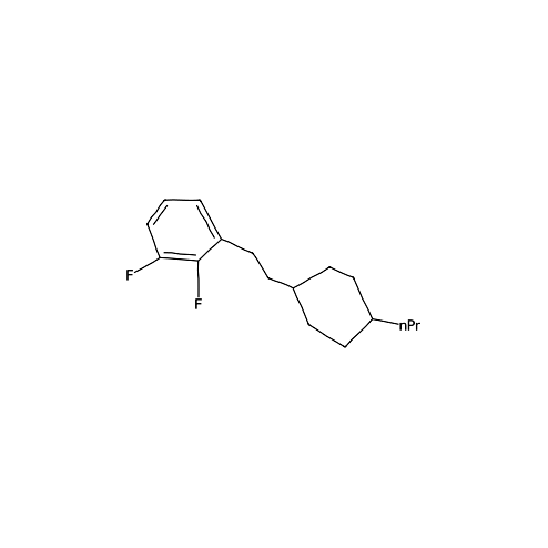 CCCC1CCC(CCc2cccc(F)c2F)CC1